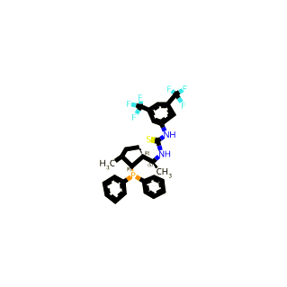 CC1CC[C@H]([C@H](C)NC(=S)Nc2cc(C(F)(F)F)cc(C(F)(F)F)c2)[C@@H]1P(c1ccccc1)c1ccccc1